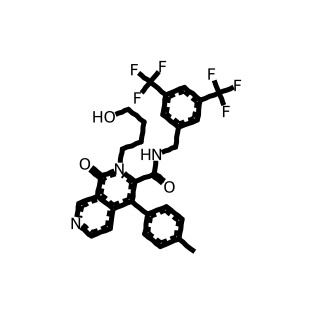 Cc1ccc(-c2c(C(=O)NCc3cc(C(F)(F)F)cc(C(F)(F)F)c3)n(CCCCO)c(=O)c3cnccc23)cc1